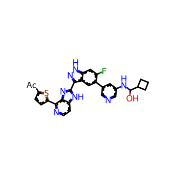 CC(=O)c1ccc(-c2nccc3[nH]c(-c4n[nH]c5cc(F)c(-c6cncc(NC(O)C7CCC7)c6)cc45)nc23)s1